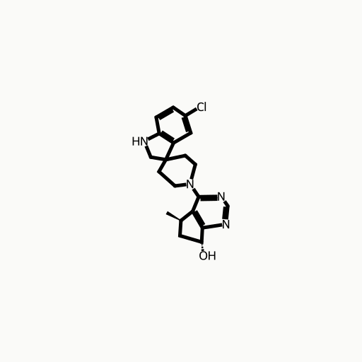 C[C@@H]1C[C@@H](O)c2ncnc(N3CCC4(CC3)CNc3ccc(Cl)cc34)c21